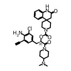 C#Cc1cc(C[C@@H](OC(=O)N2CCC3(CC2)CC(=O)Nc2ccccc23)C(=O)N2CCC(N(C)C)CC2)cc(Cl)c1N